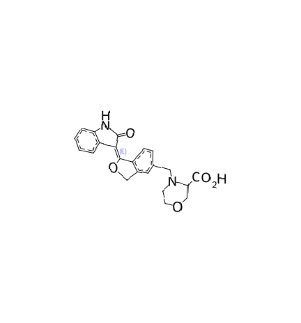 O=C1Nc2ccccc2/C1=C1\OCc2cc(CN3CCOCC3C(=O)O)ccc21